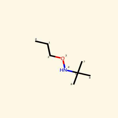 CCCONC(C)(C)C